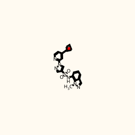 Cn1ncc2cccc(NS(=O)(=O)c3cnn(-c4cc(N5CC6CC5C6)ccn4)c3)c21